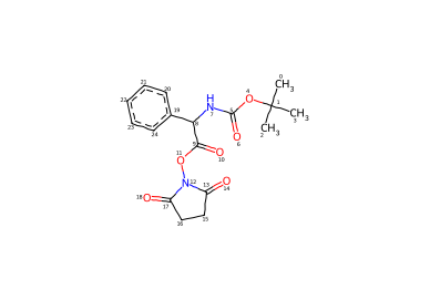 CC(C)(C)OC(=O)NC(C(=O)ON1C(=O)CCC1=O)c1ccccc1